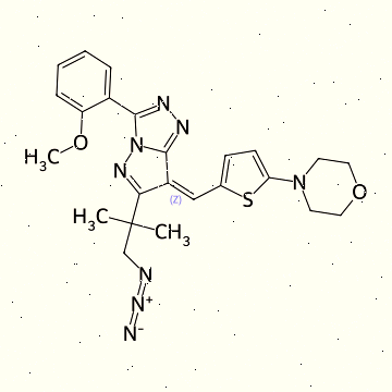 COc1ccccc1-c1nnc2/c(=C\c3ccc(N4CCOCC4)s3)c(C(C)(C)CN=[N+]=[N-])nn12